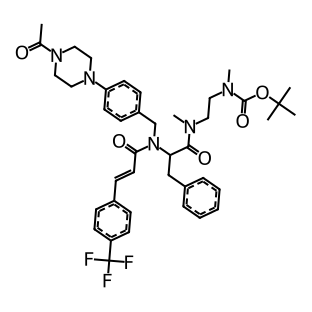 CC(=O)N1CCN(c2ccc(CN(C(=O)C=Cc3ccc(C(F)(F)F)cc3)C(Cc3ccccc3)C(=O)N(C)CCN(C)C(=O)OC(C)(C)C)cc2)CC1